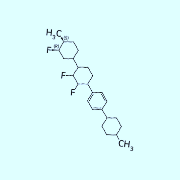 CC1CCC(c2ccc(C3CCC(C4CC[C@H](C)[C@H](F)C4)C(F)C3F)cc2)CC1